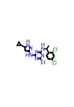 CCc1nc(Nc2cc(C3CC3)[nH]n2)nc(NC(C)c2ccc(Cl)cc2Cl)n1